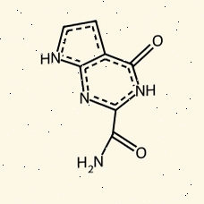 NC(=O)c1nc2[nH]ccc2c(=O)[nH]1